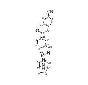 N#Cc1ccc(CC(=O)N2CCc3nc(N4CC5CCC(C4)N5)ncc3C2)cc1